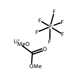 COC(=O)OC.F[P-](F)(F)(F)(F)F.[Li+]